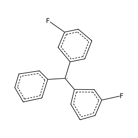 Fc1cccc([C](c2ccccc2)c2cccc(F)c2)c1